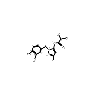 Cc1cc(OC(=O)C(Cl)Cl)n(Cc2ccc(Cl)c(Cl)c2)n1